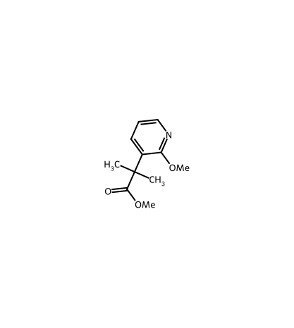 COC(=O)C(C)(C)c1cccnc1OC